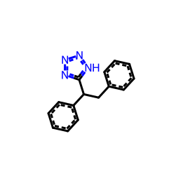 c1ccc(CC(c2ccccc2)c2nnn[nH]2)cc1